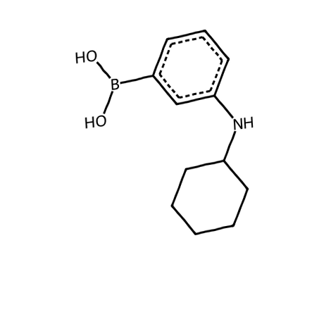 OB(O)c1cccc(NC2CCCCC2)c1